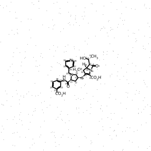 C[C@@H](O)[C@H]1C(=O)N2C(C(=O)O)=C(S[C@H]3C[C@@H](C(=O)Nc4cccc(C(=O)O)c4)N(Cc4ccncc4)C3)[C@H](C)[C@H]12